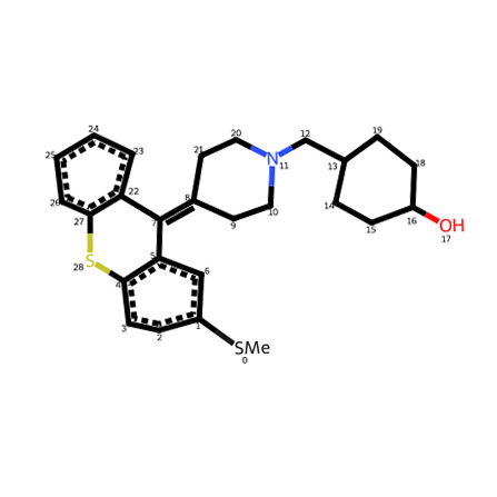 CSc1ccc2c(c1)C(=C1CCN(CC3CCC(O)CC3)CC1)c1ccccc1S2